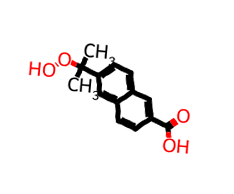 CC(C)(OO)c1ccc2cc(C(=O)O)ccc2c1